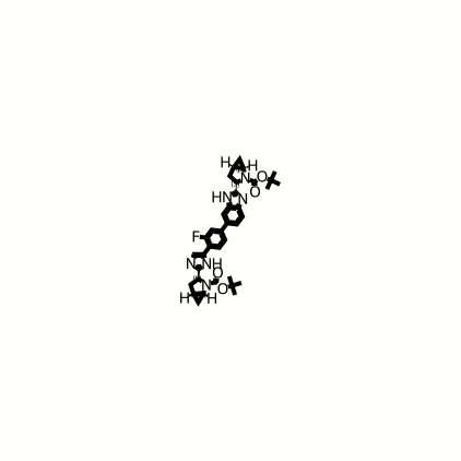 CC(C)(C)OC(=O)N1[C@@H]2C[C@@H]2C[C@H]1c1ncc(-c2ccc(-c3ccc4nc([C@@H]5C[C@H]6C[C@H]6N5C(=O)OC(C)(C)C)[nH]c4c3)cc2F)[nH]1